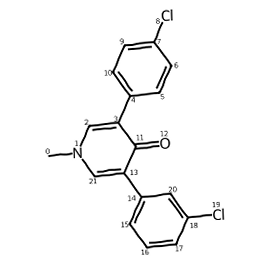 Cn1cc(-c2ccc(Cl)cc2)c(=O)c(-c2cccc(Cl)c2)c1